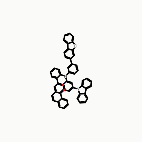 c1cc(-c2ccc3c(c2)oc2ccccc23)cc(N(c2cccc(-n3c4ccccc4c4ccccc43)c2)c2ccccc2-c2ccc3c(ccc4ccccc43)c2)c1